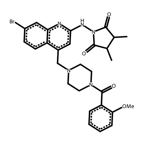 COc1ccccc1C(=O)N1CCN(Cc2cc(NN3C(=O)C(C)C(C)C3=O)nc3cc(Br)ccc23)CC1